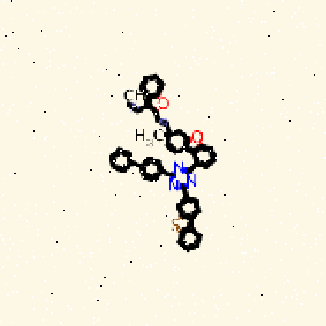 C/C=C\c1c(/C=C/C2(C)C=Cc3c(oc4cccc(-c5nc(-c6ccc(-c7ccccc7)cc6)nc(-c6ccc7c(c6)sc6ccccc67)n5)c34)C2)oc2ccccc12